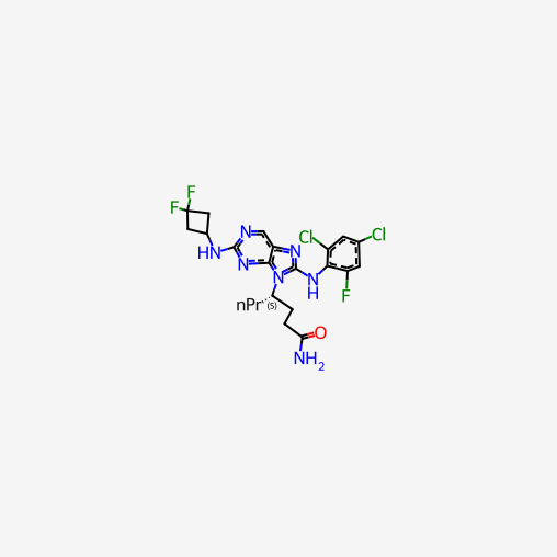 CCC[C@@H](CCC(N)=O)n1c(Nc2c(F)cc(Cl)cc2Cl)nc2cnc(NC3CC(F)(F)C3)nc21